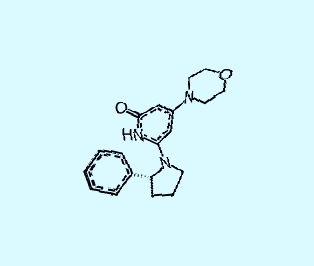 O=c1cc(N2CCOCC2)cc(N2CCC[C@@H]2c2ccccc2)[nH]1